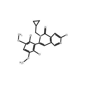 COc1cc(OC)c(Cl)c(-c2cc3cnc(Cl)cc3c(=O)n2CC2CC2)c1Cl